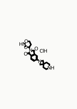 Cl.O=C1c2ccc(N3CC4(CCNCC4)C3)cc2C(=O)N1C1CCONO1